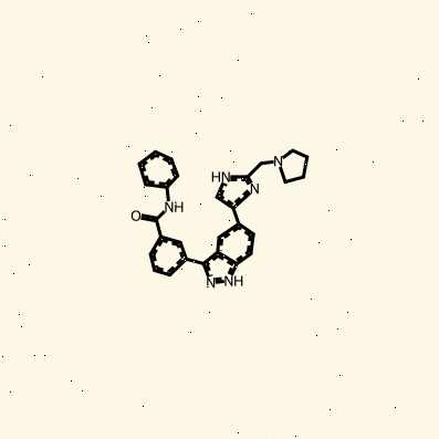 O=C(Nc1ccccc1)c1cccc(-c2n[nH]c3ccc(-c4c[nH]c(CN5CCCC5)n4)cc23)c1